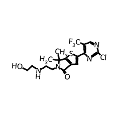 CC1(C)c2sc(-c3nc(Cl)ncc3C(F)(F)F)cc2C(=O)N1CCNCCO